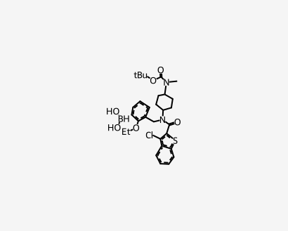 CCOc1ccccc1CN(C(=O)c1sc2ccccc2c1Cl)C1CCC(N(C)C(=O)OC(C)(C)C)CC1.OBO